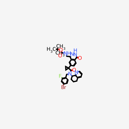 CC(C)(C)OC(=O)NCc1n[nH]c(=O)c2ccc(C3(C(=O)N(Cc4ccc(Br)cc4F)C4CCCc5cccnc54)CC3)cc12